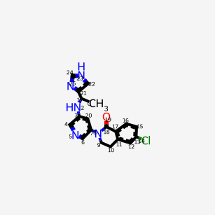 CC(Nc1cncc(N2CCc3cc(Cl)ccc3C2=O)c1)c1c[nH]cn1